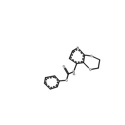 O=C(Nc1ccnc2c1OCCO2)Oc1ccccc1